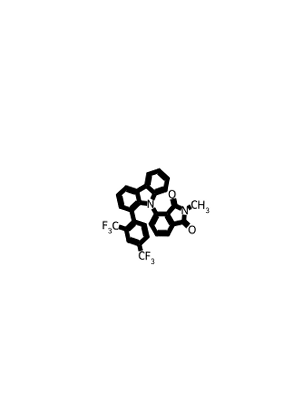 CN1C(=O)c2cccc(-n3c4ccccc4c4cccc(-c5ccc(C(F)(F)F)cc5C(F)(F)F)c43)c2C1=O